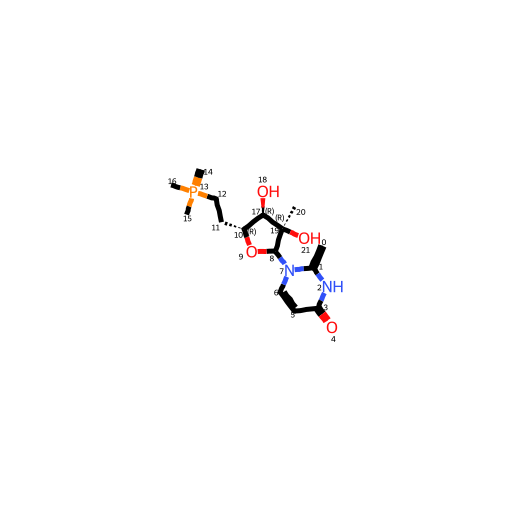 C=C1NC(=O)C=CN1C1O[C@H](CCP(=C)(C)C)[C@@H](O)[C@@]1(C)O